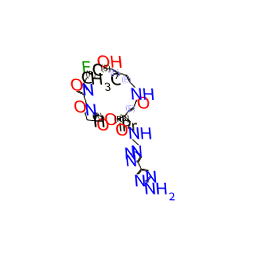 CC1=C\[C@@H](O)C[C@@H](F)Cc2nc(co2)C(=O)N2CCC[C@@H]2C(=O)O[C@H](C(C)C)[C@H](CC(=O)NCCn2cc(-c3cnc(N)nc3)nn2)/C=C/C(=O)NC\C=C\1